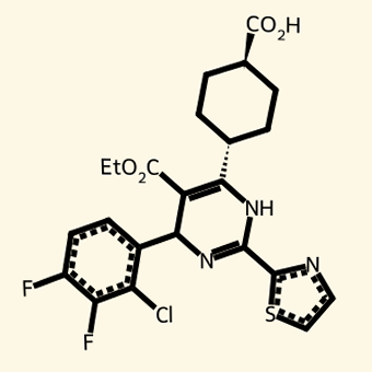 CCOC(=O)C1=C([C@H]2CC[C@H](C(=O)O)CC2)NC(c2nccs2)=NC1c1ccc(F)c(F)c1Cl